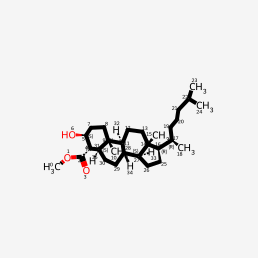 COC(=O)[C@@H]1[C@@H](O)CC[C@]2(C)[C@H]3CC[C@]4(C)[C@@H]([C@H](C)CCCC(C)C)CC[C@H]4[C@@H]3CC[C@@H]12